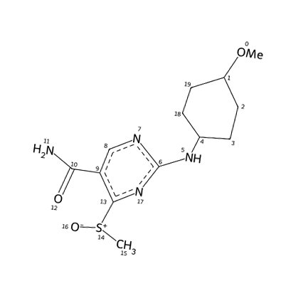 COC1CCC(Nc2ncc(C(N)=O)c([S+](C)[O-])n2)CC1